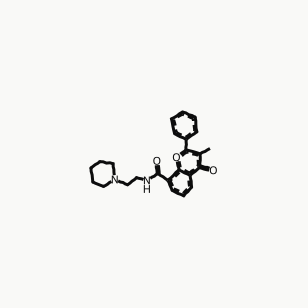 Cc1c(-c2ccccc2)oc2c(C(=O)NCCN3CCCCC3)cccc2c1=O